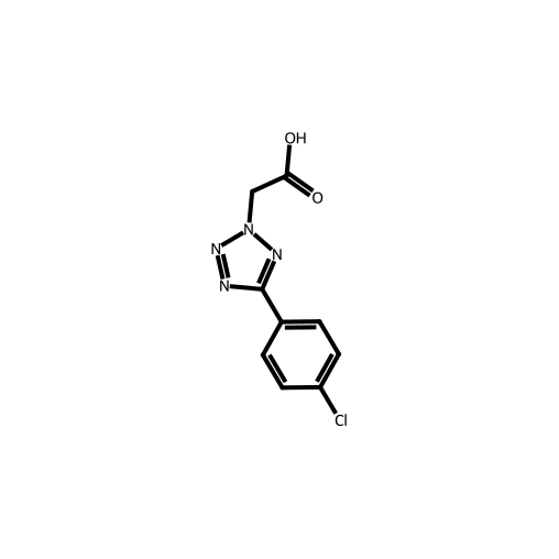 O=C(O)Cn1nnc(-c2ccc(Cl)cc2)n1